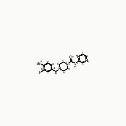 O=C(Nc1cnccn1)N1CCN(Cc2ccc(Br)c(F)c2)CC1